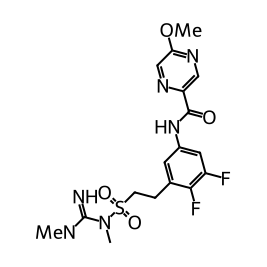 CNC(=N)N(C)S(=O)(=O)CCc1cc(NC(=O)c2cnc(OC)cn2)cc(F)c1F